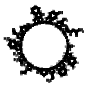 CCCC[C@H]1C(=O)N2CCC[C@@H]2C(=O)N[C@@H](COC=O)C(=O)N[C@@H](C(C)C)C(=O)N(C)[C@@H](Cc2ccc(C)cc2)C(=O)N[C@@H](COC=O)C(=O)N2CCC[C@@H]2C(=O)N[C@@H](Cc2c[nH]c3ccccc23)C(=O)N[C@@H](Cc2ccc(O)cc2)C(=O)N[C@@H](CC(C)C)C(=O)N[C@H](C(=O)NCC(N)=O)CSCC(=O)N[C@@H](Cc2ccc(F)cc2)C(=O)N(C)[C@@H](Cc2ccccc2)C(=O)N1C